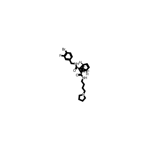 O=C(NCCCCN1CCCC1)[C@H]1[C@H](C(=O)NCc2ccc(Br)c(F)c2)[C@@H]2C=C[C@H]1C21CC1